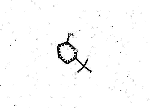 FC(F)(F)c1cccc(P)n1